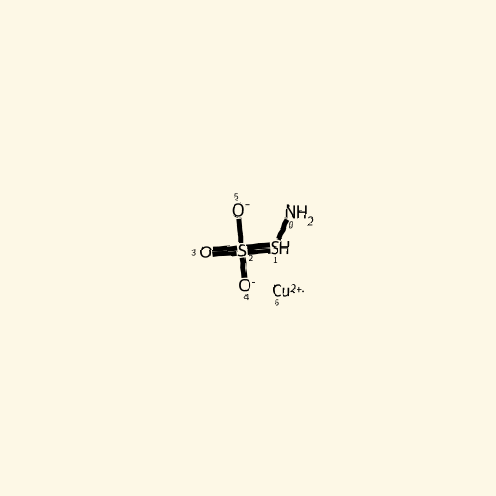 N[SH]=S(=O)([O-])[O-].[Cu+2]